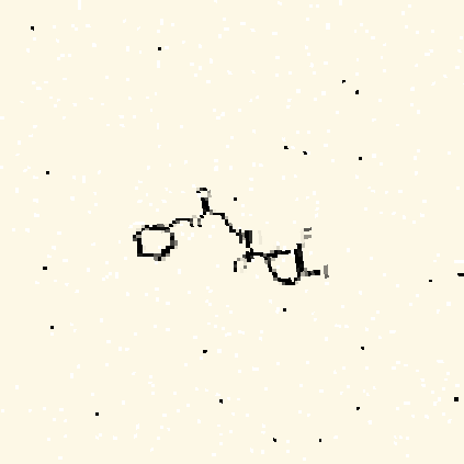 CCc1ccc(C(=O)NCCC(=O)OCc2ccccc2)cc1F